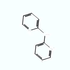 c1cc[c]([Sm][c]2ccccn2)nc1